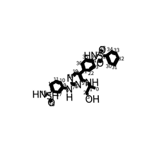 CC(CO)Nc1nc(Nc2cccc([SH](=N)=O)c2)ncc1-c1ccc(NS(=O)(=O)c2ccccc2)cc1